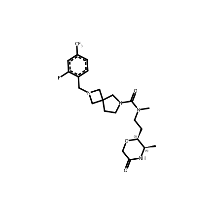 C[C@H]1NC(=O)CO[C@H]1CCN(C)C(=O)N1CCC2(CN(Cc3ccc(C(F)(F)F)cc3F)C2)C1